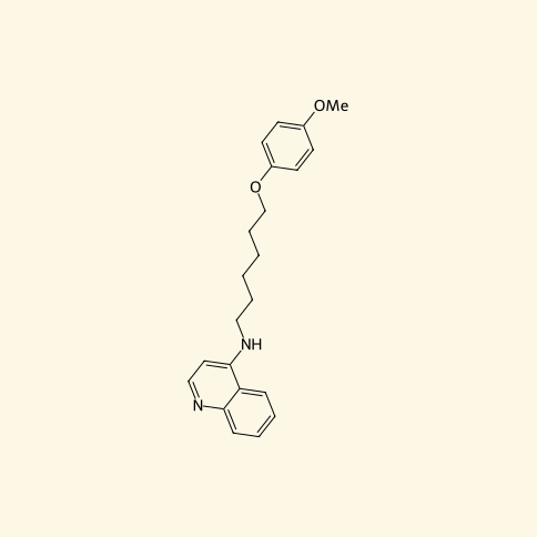 COc1ccc(OCCCCCCNc2ccnc3ccccc23)cc1